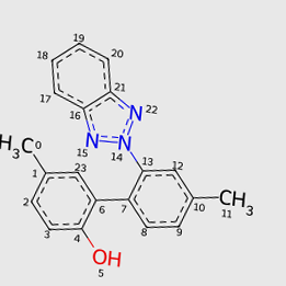 Cc1ccc(O)c(-c2ccc(C)cc2-n2nc3ccccc3n2)c1